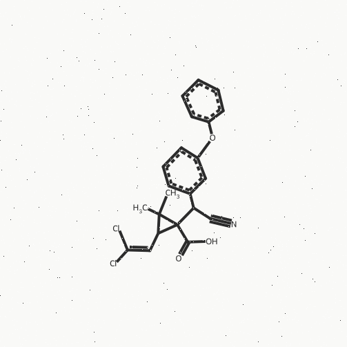 CC1(C)C(C=C(Cl)Cl)C1(C(=O)O)C(C#N)c1cccc(Oc2ccccc2)c1